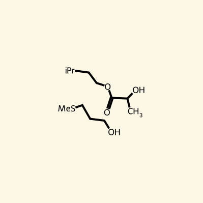 CC(C)CCOC(=O)C(C)O.CSCCCO